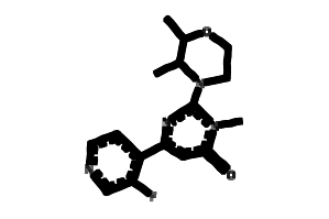 CC1OCCN(c2nc(-c3ccncc3F)cc(=O)n2C)C1C